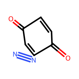 N#N.O=C1C=CC(=O)C=C1